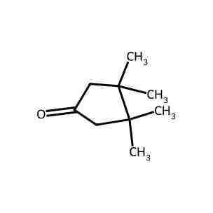 CC1(C)CC(=O)CC1(C)C